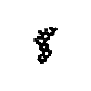 CC(C)CC(COc1cc2c(cc1C#N)-c1ccncc1CO2)NC(=O)O